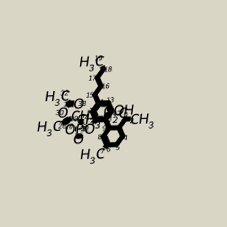 C=C(C)C1CCC(C)=CC1c1c(O)cc(CCCCC)cc1OP(C)(=O)OC(C)(C)OC(C)=O